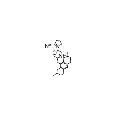 CC1CCc2cc3c(c(CC(C)NCC(=O)N4CCCC4C#N)c2C1)CC(C)CC3